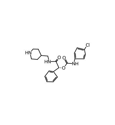 O=C(Nc1ccc(Cl)cc1)O[C@@H](C(=O)NCC1CCNCC1)c1ccccc1